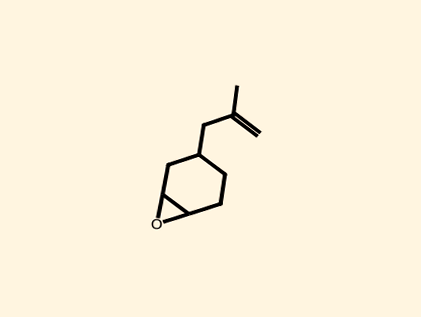 C=C(C)CC1CCC2OC2C1